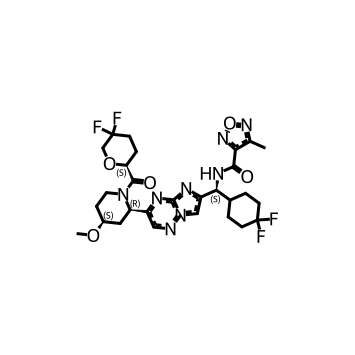 CO[C@H]1CCN(C(=O)[C@@H]2CCC(F)(F)CO2)[C@@H](c2cnn3cc([C@@H](NC(=O)c4nonc4C)C4CCC(F)(F)CC4)nc3n2)C1